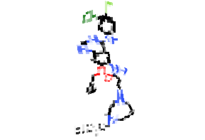 CCOC(=O)CN1CCCN(CC=CC(=O)Nc2cc3c(Nc4ccc(F)c(Cl)c4)ncnc3cc2OCC2CC2)CC1